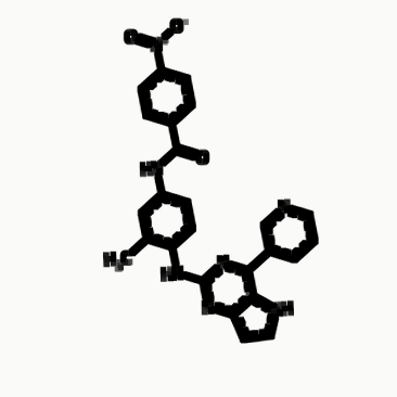 Cc1cc(NC(=O)c2ccc([N+](=O)[O-])cc2)ccc1Nc1nc(-c2cccnc2)c2[nH]ccc2n1